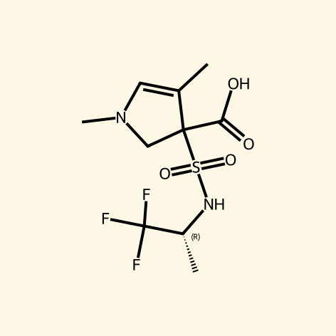 CC1=CN(C)CC1(C(=O)O)S(=O)(=O)N[C@H](C)C(F)(F)F